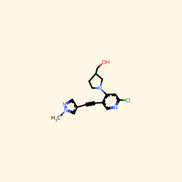 Cn1cc(C#Cc2cnc(Cl)cc2N2CCC(CO)C2)cn1